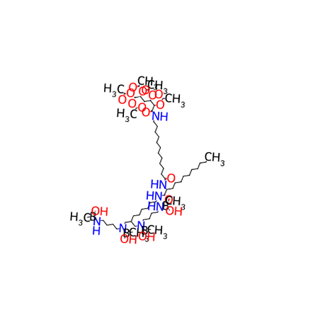 CCCCCCCCCCC(NC(=O)CCCCCCCCCCCNC(=O)[C@H](OC(C)=O)[C@@H](OC(C)=O)[C@H](OC(C)=O)[C@@H](COC(C)=O)OC(C)=O)C(=O)NCCCCCCC(CN(CCCCNB(C)O)B(C)O)CN(CCCCNB(C)O)B(C)O